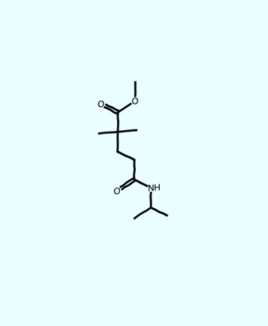 COC(=O)C(C)(C)CCC(=O)NC(C)C